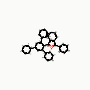 c1cccc(-c2cc(-c3ccccc3)cc(-c3ccccc3)c2-c2oc(-c3ccccc3)c3c2CCC=C3)c#1